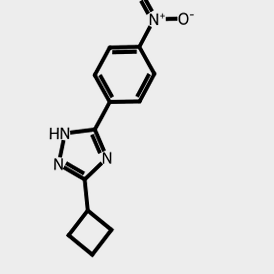 O=[N+]([O-])c1ccc(-c2nc(C3CCC3)n[nH]2)cc1